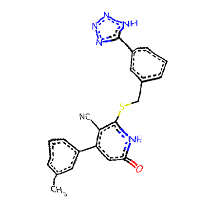 Cc1cccc(-c2cc(=O)[nH]c(SCc3cccc(-c4nnn[nH]4)c3)c2C#N)c1